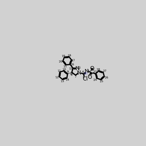 O=S(=O)(/N=C(\Cl)N1C[C@H](c2ccccc2)C(c2ccccc2)=N1)c1ccccc1